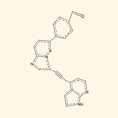 O=Cc1ccc(-c2ccc3ncc(C#Cc4ccnc5[nH]ccc45)n3n2)cc1